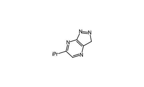 CC(C)c1cnc2c(n1)N=NC2